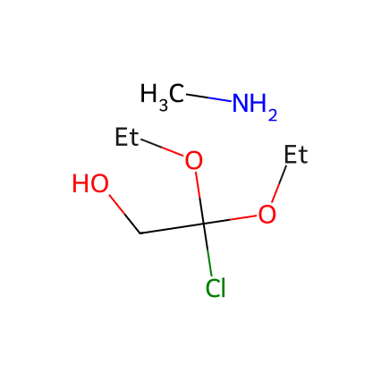 CCOC(Cl)(CO)OCC.CN